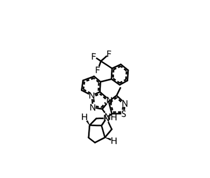 Cc1cc(N2C[C@H]3CC[C@@H](C2)C3Nc2nc3c(-c4ccccc4C(F)(F)F)cccn3n2)sn1